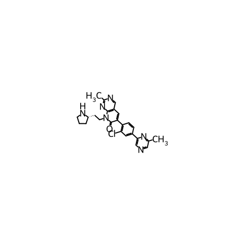 Cc1cncc(-c2ccc(-c3cc4cnc(C)nc4n(CC[C@@H]4CCCN4)c3=O)c(Cl)c2)n1